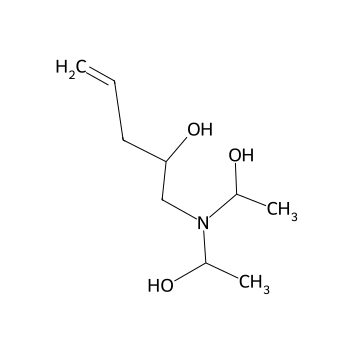 C=CCC(O)CN(C(C)O)C(C)O